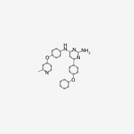 Cc1cc(Oc2ccc(Nc3cc(-c4ccc(Oc5ccccc5)cc4)nc(N)n3)cc2)ccn1